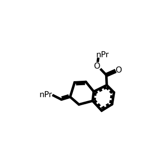 CCCC=C1C=Cc2c(cccc2C(=O)OCCC)C1